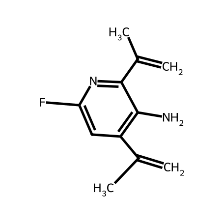 C=C(C)c1cc(F)nc(C(=C)C)c1N